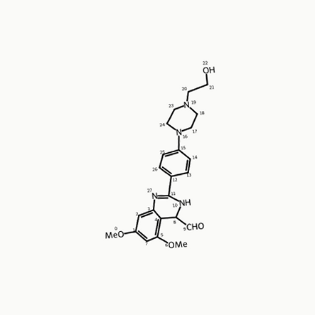 COc1cc2c(c(OC)c1)C(C=O)NC(c1ccc(N3CCN(CCO)CC3)cc1)=N2